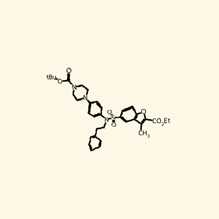 CCOC(=O)c1oc2ccc(S(=O)(=O)N(CCc3ccccc3)c3ccc(N4CCN(C(=O)OC(C)(C)C)CC4)cc3)cc2c1C